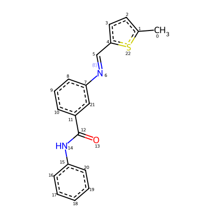 Cc1ccc(/C=N/c2cccc(C(=O)Nc3ccccc3)c2)s1